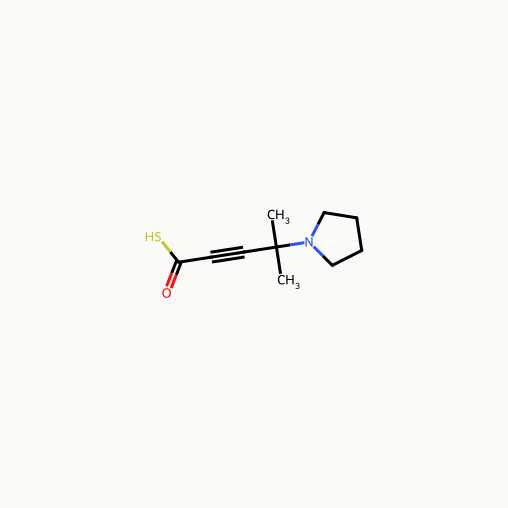 CC(C)(C#CC(=O)S)N1CCCC1